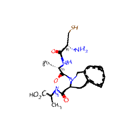 CC(NC(=O)C1Cc2ccccc2CN1C(=O)[C@@H](NC(=O)[C@@H](N)CS)C(C)C)C(=O)O